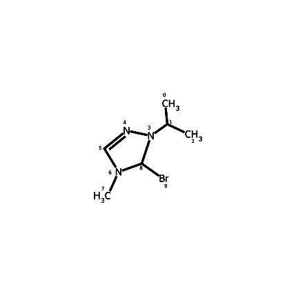 CC(C)N1N=CN(C)C1Br